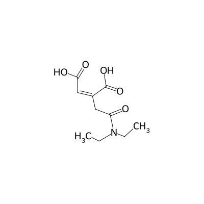 CCN(CC)C(=O)CC(=CC(=O)O)C(=O)O